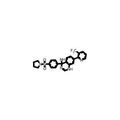 NC1(c2ccc(S(=O)(=O)N3CCCC3)cc2)N=CNc2cc(-c3ncccc3C(F)(F)F)ccc21